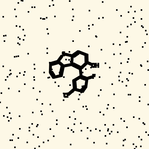 Oc1ccc2sc3ccccc3c2c1-c1cc(Cl)ccc1F